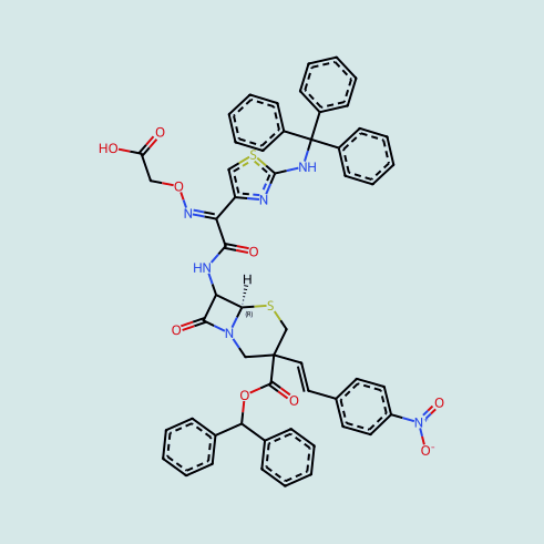 O=C(O)CON=C(C(=O)NC1C(=O)N2CC(C=Cc3ccc([N+](=O)[O-])cc3)(C(=O)OC(c3ccccc3)c3ccccc3)CS[C@H]12)c1csc(NC(c2ccccc2)(c2ccccc2)c2ccccc2)n1